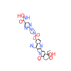 CC[C@@]1(O)C(=O)CCc2c1cc1n(c2=O)Cc2c-1nc1ccc(OC(=O)N3CCN(c4ncc(C(=O)NO)cn4)CC3)cc1c2CN(C)C